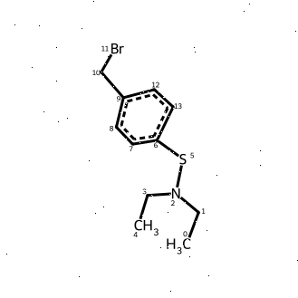 CCN(CC)Sc1ccc(CBr)cc1